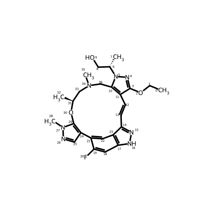 CCOc1nn([C@@H](C)CO)c2c1/C=C/c1n[nH]c3cc(F)c(cc13)-c1cnn(C)c1O[C@@H](C)CN(C)C2